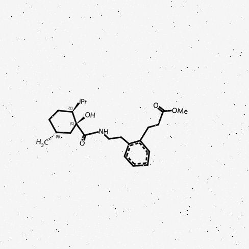 COC(=O)CCc1ccccc1CCNC(=O)[C@]1(O)C[C@H](C)CC[C@H]1C(C)C